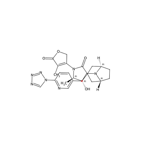 CC1=C(N2C(=O)C3(C[C@H]4CC[C@H](C3)N4C[C@H](O)c3ccc(-n4cnnn4)nc3)C[C@H]2C)COC1=O